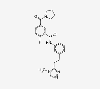 Cn1cnnc1CCc1cccc(NC(=O)c2cc(C(=O)N3CCCC3)ccc2F)c1